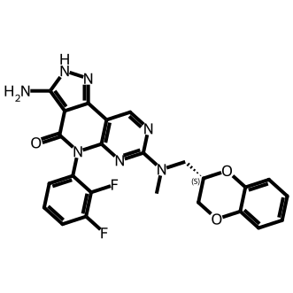 CN(C[C@H]1COc2ccccc2O1)c1ncc2c3n[nH]c(N)c3c(=O)n(-c3cccc(F)c3F)c2n1